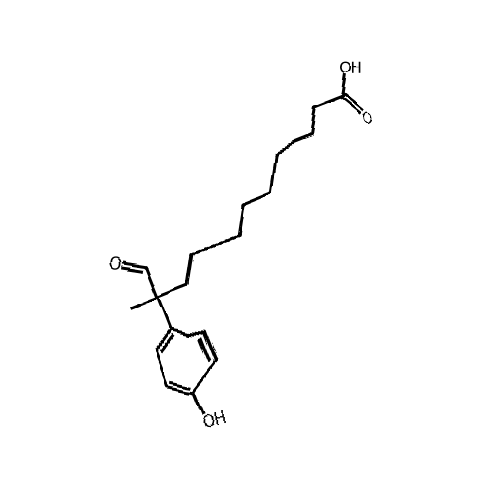 CC(C=O)(CCCCCCCCC(=O)O)c1ccc(O)cc1